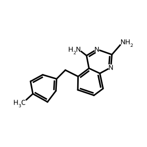 Cc1ccc(Cc2cccc3nc(N)nc(N)c23)cc1